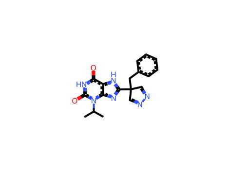 CC(C)n1c(=O)[nH]c(=O)c2[nH]c(C3(Cc4ccccc4)C=NN=C3)nc21